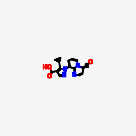 O=C=C1C=CN=C2C(n3ncc(C(=O)O)c3C3CC3)=CC=CN12